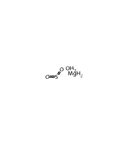 O.O=S=O.[MgH2]